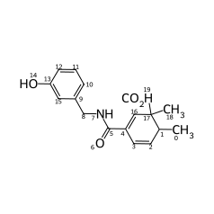 CC1C=CC(C(=O)NCc2cccc(O)c2)=CC1(C)C(=O)O